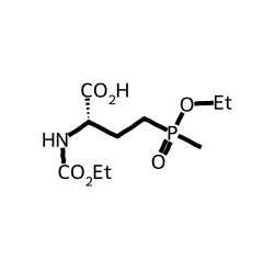 CCOC(=O)N[C@@H](CCP(C)(=O)OCC)C(=O)O